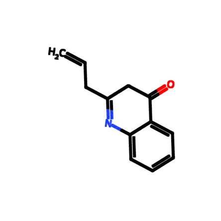 C=CCC1=Nc2ccccc2C(=O)C1